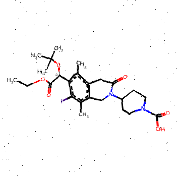 CCOC(=O)[C@@H](OC(C)(C)C)c1c(C)c2c(c(C)c1I)CN(C1CCN(C(=O)O)CC1)C(=O)C2